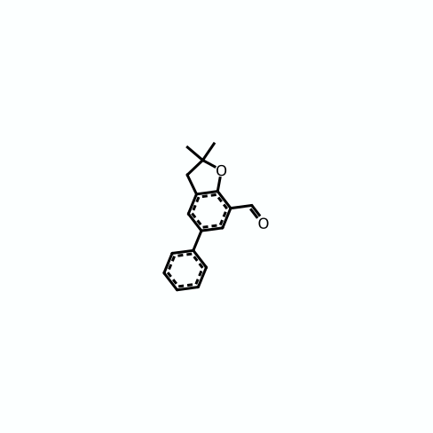 CC1(C)Cc2cc(-c3ccccc3)cc(C=O)c2O1